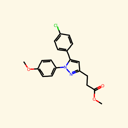 COC(=O)CCc1cc(-c2ccc(Cl)cc2)n(-c2ccc(OC)cc2)n1